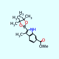 COC(=O)c1ccc2c(C)c(B3OC(C)(C)C(C)(C)O3)[nH]c2c1